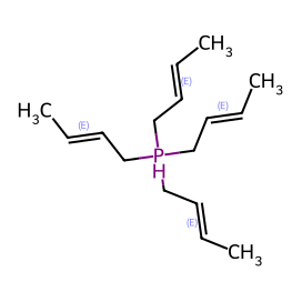 C/C=C/C[PH](C/C=C/C)(C/C=C/C)C/C=C/C